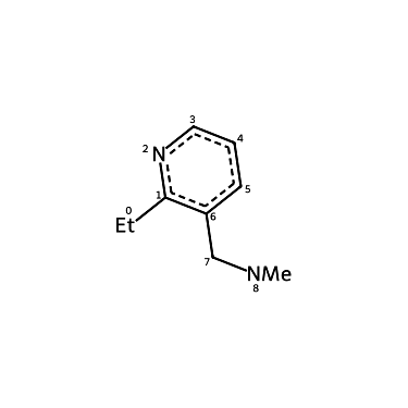 CCc1ncccc1CNC